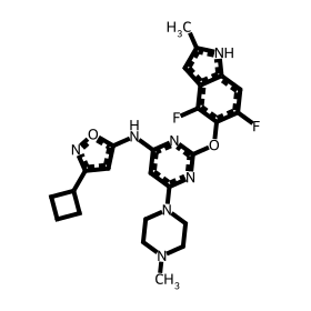 Cc1cc2c(F)c(Oc3nc(Nc4cc(C5CCC5)no4)cc(N4CCN(C)CC4)n3)c(F)cc2[nH]1